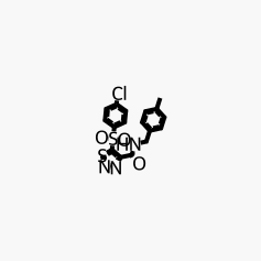 Cc1ccc(CNC(=O)c2nnsc2S(=O)(=O)c2ccc(Cl)cc2)cc1